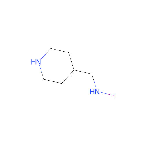 INCC1CCNCC1